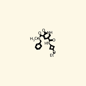 CCOC1CC(NC(=O)c2c[nH]c(=O)c(C(=O)N(C)Cc3ccccc3)c2)C1